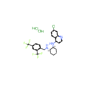 Cl.Cl.FC(F)(F)c1ccc(CN[C@H]2CCCC[C@@H]2Nc2ccnc3cc(Cl)ccc23)c(C(F)(F)F)c1